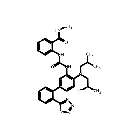 CNC(=O)c1ccccc1NC(=O)Nc1cc(-c2ccccc2-c2nnn[nH]2)ccc1N(CC(C)C)CC(C)C